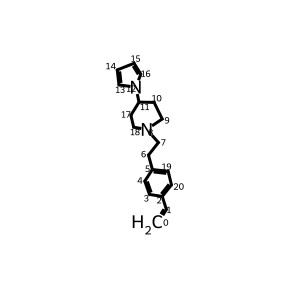 C=Cc1ccc(CCN2CCC(n3cccc3)CC2)cc1